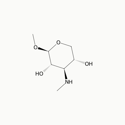 CN[C@H]1[C@H](O)[C@@H](OC)OC[C@@H]1O